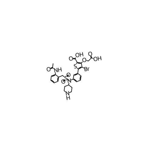 CC(=O)Nc1ccccc1CS(=O)(=O)N(c1cccc(-c2sc(C(=O)O)c(OCC(=O)O)c2Br)c1)C1CCNCC1